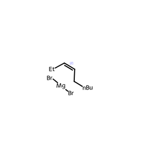 [Br][Mg][Br].[CH2]C/C=C\CCCCC